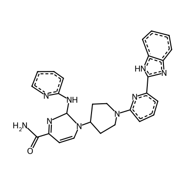 NC(=O)C1=NC(Nc2ccccn2)N(C2CCN(c3cccc(-c4nc5ccccc5[nH]4)n3)CC2)C=C1